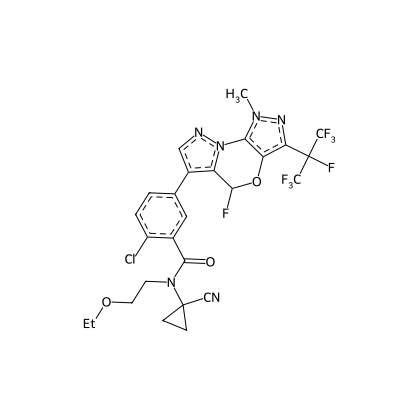 CCOCCN(C(=O)c1cc(-c2cnn3c2C(F)Oc2c(C(F)(C(F)(F)F)C(F)(F)F)nn(C)c2-3)ccc1Cl)C1(C#N)CC1